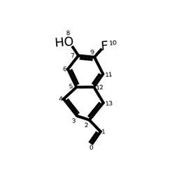 C=Cc1ccc2cc(O)c(F)cc2c1